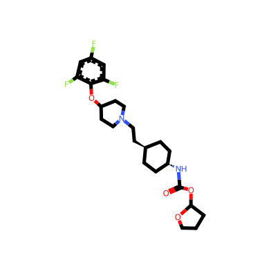 O=C(N[C@H]1CC[C@H](CCN2CCC(Oc3c(F)cc(F)cc3F)CC2)CC1)OC1CCCO1